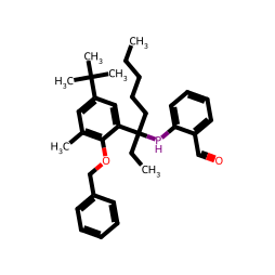 CCCCCC(CC)(Pc1ccccc1C=O)c1cc(C(C)(C)C)cc(C)c1OCc1ccccc1